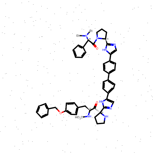 CCN(CC)[C@@H](C(=O)N1CCC[C@H]1c1ncc(-c2ccc(-c3ccc(-c4cnc([C@]5(C(=O)[C@H](Cc6ccc(OCc7ccccc7)cc6)NC(=O)O)CCCN5)[nH]4)cc3)cc2)[nH]1)c1ccccc1